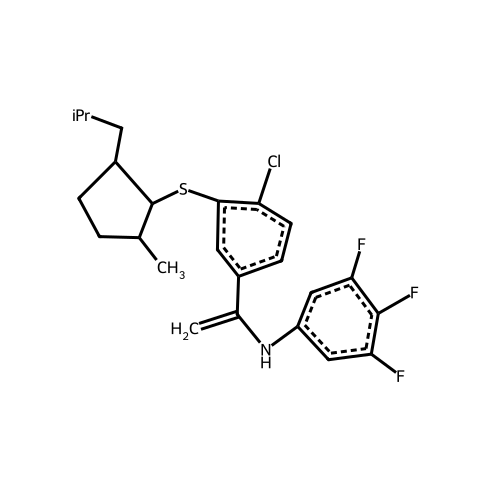 C=C(Nc1cc(F)c(F)c(F)c1)c1ccc(Cl)c(SC2C(C)CCC2CC(C)C)c1